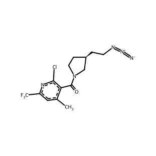 Cc1cc(C(F)(F)F)nc(Cl)c1C(=O)N1CC[C@@H](CCN=[N+]=[N-])C1